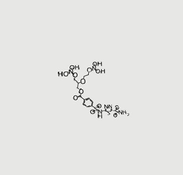 NS(=O)(=O)c1nnc(NS(=O)(=O)c2ccc(C(=O)OCC(CON(O)O)OCCON(O)O)cc2)s1